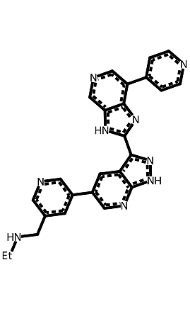 CCNCc1cncc(-c2cnc3[nH]nc(-c4nc5c(-c6ccncc6)cncc5[nH]4)c3c2)c1